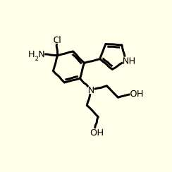 NC1(Cl)C=C(c2cc[nH]c2)C(N(CCO)CCO)=CC1